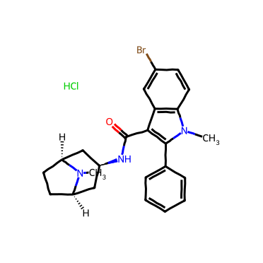 CN1[C@@H]2CC[C@H]1C[C@@H](NC(=O)c1c(-c3ccccc3)n(C)c3ccc(Br)cc13)C2.Cl